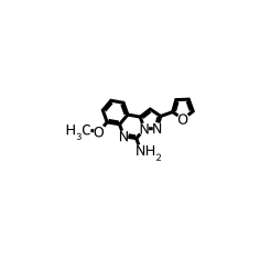 COc1cccc2c1nc(N)n1nc(-c3ccco3)cc21